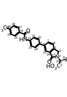 CC(C)[C@@H](C(=O)O)N1Cc2ccc(-c3ccc(NC(=O)c4ccc(C(F)(F)F)cc4)cc3)cc2C1=O